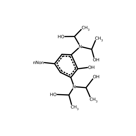 CCCCCCCCCc1cc(N(C(C)O)C(C)O)c(O)c(N(C(C)O)C(C)O)c1